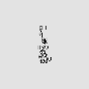 CC(C)(C)C(=O)c1cc2cc(NC(=O)c3cn(CCOCCO)nn3)cnc2[nH]1